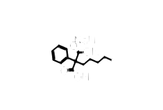 CCCCCC(C(=O)O)(C(=O)O)c1ccccc1.[NaH]